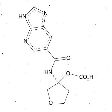 O=C(O)O[C@@]1(NC(=O)c2cnc3[nH]cnc3c2)CCOC1